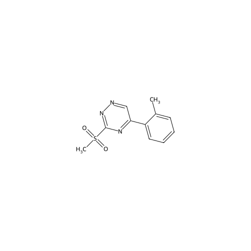 Cc1ccccc1-c1cnnc(S(C)(=O)=O)n1